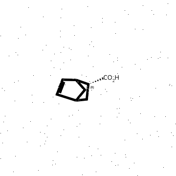 O=C(O)[C@@H]1CC2C=CC1C2